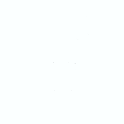 CCN1CCN(c2cncc(-c3cn(-c4cc(C(=O)Nc5cc(C(C)(C)C)on5)ccc4C)nn3)c2)CC1C